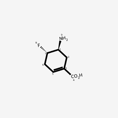 N[C@H]1CC(C(=O)O)=CC[C@@H]1F